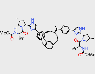 COC(=O)N[C@H](C(=O)N1C[C@H](C)C[C@H]1c1nc(-c2ccc(/C(C)=C3/C=C\[C@H](C)CCc4ccc(cc4-c4ccc(-c5c[nH]c([C@@H]6C[C@@H](C)CN6C(=O)[C@@H](NC(=O)OC)C(C)C)n5)cc4)CC3)cc2)c[nH]1)C(C)C